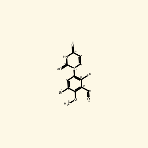 COc1c(Br)cc(-n2ccc(=O)[nH]c2=O)c(F)c1C=O